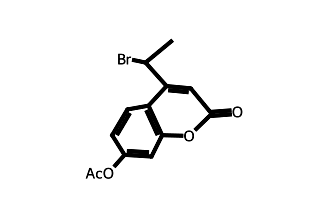 CC(=O)Oc1ccc2c(C(C)Br)cc(=O)oc2c1